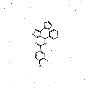 O=C(NC(c1ccccc1)c1c[nH]nc1-c1cccs1)c1ccc(C(F)(F)F)c(F)c1